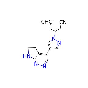 N#CCC(CC=O)n1cc(-c2cnnc3[nH]ccc23)cn1